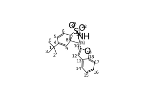 CC(C)(C)c1ccc2c(c1)[C@@H](c1cc3ccccc3o1)NS2(=O)=O